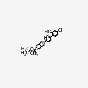 CC(C)(C)OC(=O)N1CC2CN(c3ccc(-c4ccc(Cl)cc4O)nn3)CC2C1